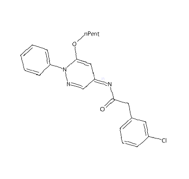 CCCCCOc1c/c(=N/C(=O)Cc2cccc(Cl)c2)cnn1-c1ccccc1